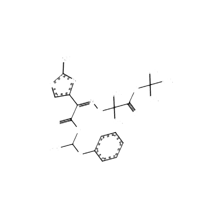 CC(OC(=O)C(=NOC(C)(C)C(=O)OC(C)(C)C)c1csc(N)n1)Sc1ccccc1